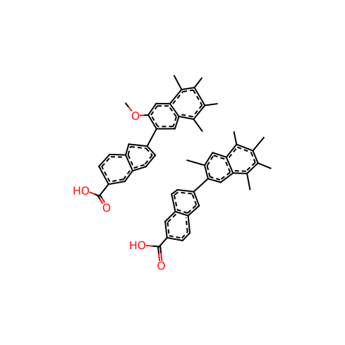 COc1cc2c(C)c(C)c(C)c(C)c2cc1-c1ccc2cc(C(=O)O)ccc2c1.Cc1cc2c(C)c(C)c(C)c(C)c2cc1-c1ccc2cc(C(=O)O)ccc2c1